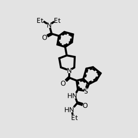 CCNC(=O)Nc1sc2ccccc2c1C(=O)N1CCC(c2cccc(C(=O)N(CC)CC)c2)CC1